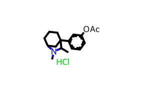 CC(=O)Oc1cccc(C23CCCC(C2)N(C)C3C)c1.Cl